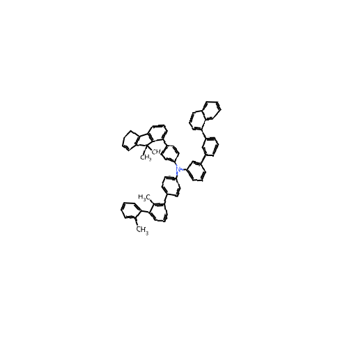 Cc1ccccc1-c1cccc(-c2ccc(N(c3ccc(-c4cccc5c4C(C)(C)C4=C5CCC=C4)cc3)c3cccc(-c4cccc(-c5cccc6ccccc56)c4)c3)cc2)c1C